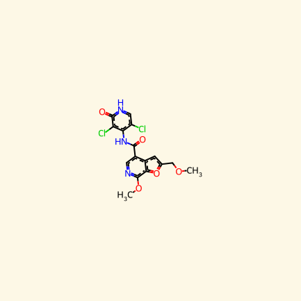 COCc1cc2c(C(=O)Nc3c(Cl)c[nH]c(=O)c3Cl)cnc(OC)c2o1